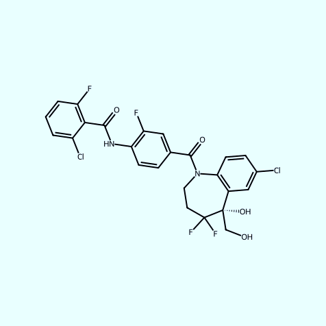 O=C(Nc1ccc(C(=O)N2CCC(F)(F)[C@](O)(CO)c3cc(Cl)ccc32)cc1F)c1c(F)cccc1Cl